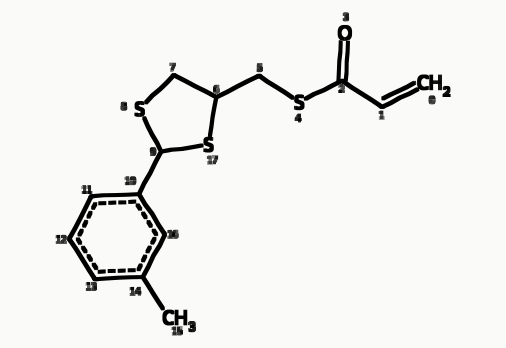 C=CC(=O)SCC1CSC(c2cccc(C)c2)S1